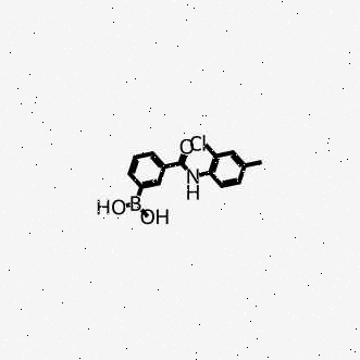 Cc1ccc(NC(=O)c2cccc(B(O)O)c2)c(Cl)c1